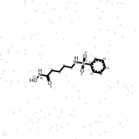 O=C(CCCCNS(=O)(=O)c1ccccc1)NO